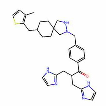 Cc1ccsc1CC1CCC2(CC1)CNN(Cc1ccc(C(=O)C(Cc3ncc[nH]3)Cc3ncc[nH]3)cc1)C2